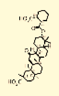 CC1(C)[C@@H](OC(=O)[C@@H]2CCCC[C@@H]2C(=O)O)CC[C@]2(C)[C@H]3C(=O)C=C4[C@@H]5C[C@@](C)(C(=O)O)CC[C@]5(C)CC[C@@]4(C)[C@]3(C)CC[C@@H]12